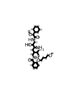 COCCCCOc1ccccc1C(=O)NCC(CC(N)C(O)CNC(=O)[C@H](OC)C1CCCCC1)C(C)C